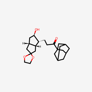 O=C(CC[C@@H]1[C@@H]2CC3(C[C@@H]2C[C@H]1O)OCCO3)C12CC3CC(CC(C3)C1)C2